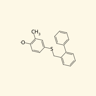 Cc1cc(SCc2ccccc2-c2ccccc2)ccc1[O]